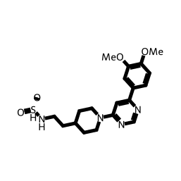 COc1ccc(-c2cc(N3CCC(CCN[SH](=O)=O)CC3)ncn2)cc1OC